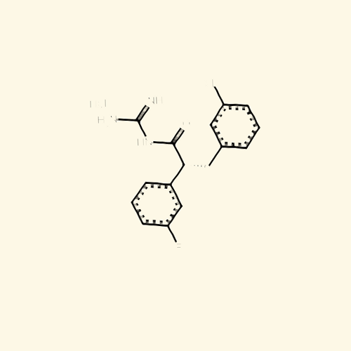 Cl.N=C(N)NC(=O)[C@H](Cc1cccc(Cl)c1)c1cccc(F)c1